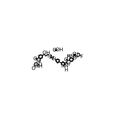 O=C1CC[C@H](N2Cc3cc([C@H](O)CCN4CC5(C4)CN(c4ccc(-c6cnc7[nH]cc(C(=O)c8c(F)ccc(NS(=O)(=O)N9CC[C@@H](F)C9)c8F)c7c6)cc4)C5)ccc3C2=O)C(=O)N1.O=CO